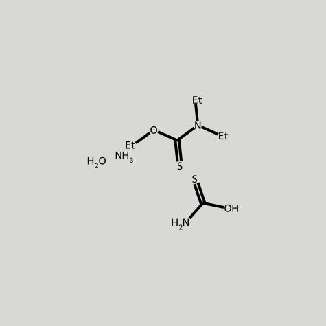 CCOC(=S)N(CC)CC.N.NC(O)=S.O